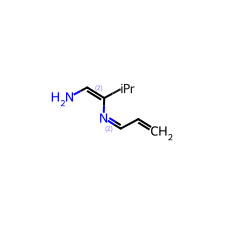 C=C/C=N\C(=C/N)C(C)C